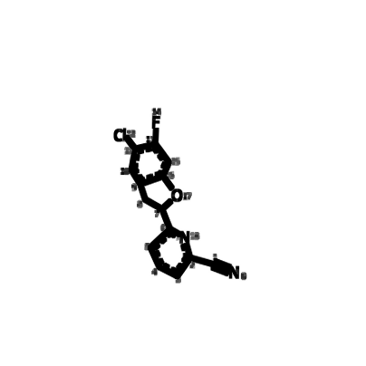 N#Cc1cccc(C2Cc3cc(Cl)c(F)cc3O2)n1